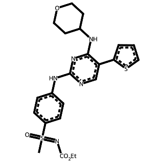 CCOC(=O)N=S(C)(=O)c1ccc(Nc2ncc(-c3cccs3)c(NC3CCOCC3)n2)cc1